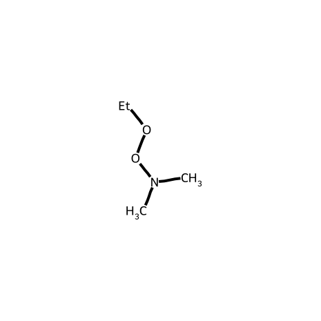 CCOON(C)C